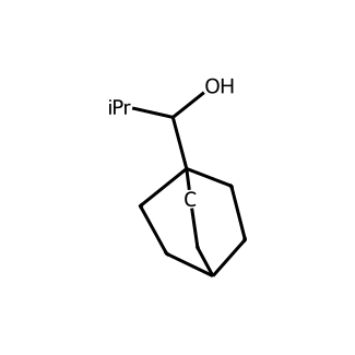 CC(C)C(O)C12CCC(CC1)CC2